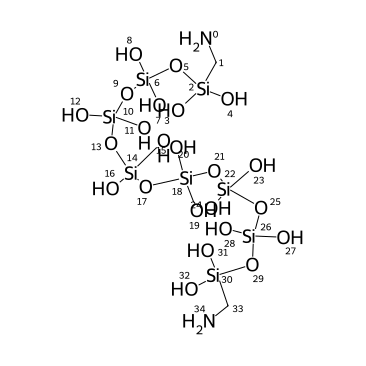 NC[Si](O)(O)O[Si](O)(O)O[Si](O)(O)O[Si](O)(O)O[Si](O)(O)O[Si](O)(O)O[Si](O)(O)O[Si](O)(O)CN